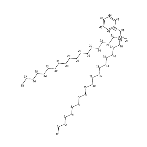 CCCCCCCCCCCCCCCCCCC[N+](C)(CCCCCCCCCCCCCCCCCC)Cc1ccccc1